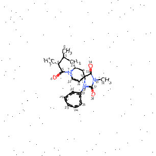 CC(C)[C@@H](C)C(=O)N1CCC2(CC1)C(=O)N(C)C(=O)N2c1ccccc1